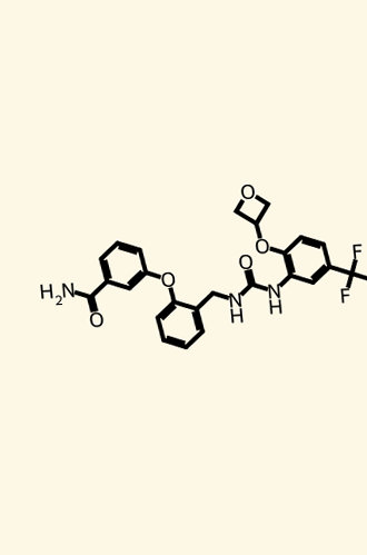 NC(=O)c1cccc(Oc2ccccc2CNC(=O)Nc2cc(C(F)(F)F)ccc2OC2COC2)c1